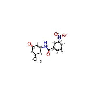 CC1CC(=O)C=C(NC(=O)c2cccc([N+](=O)[O-])c2)C1